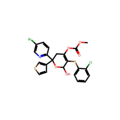 COC(=O)OC1=C(Sc2ccccc2Cl)C(O)OC(c2ccsc2)(c2ccc(Br)cn2)C1